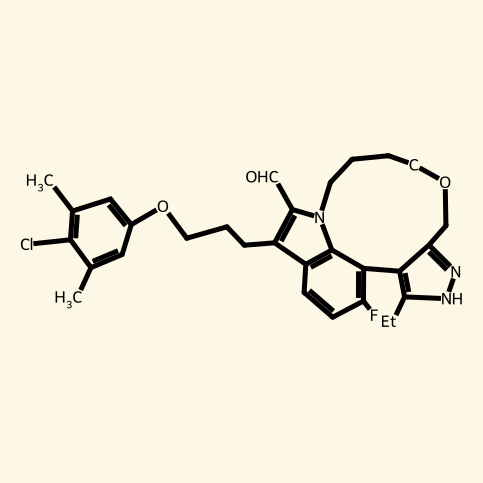 CCc1[nH]nc2c1-c1c(F)ccc3c(CCCOc4cc(C)c(Cl)c(C)c4)c(C=O)n(c13)CCCCOC2